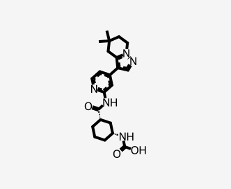 CC1(C)CCn2ncc(-c3ccnc(NC(=O)[C@H]4CCC[C@@H](NC(=O)O)C4)c3)c2C1